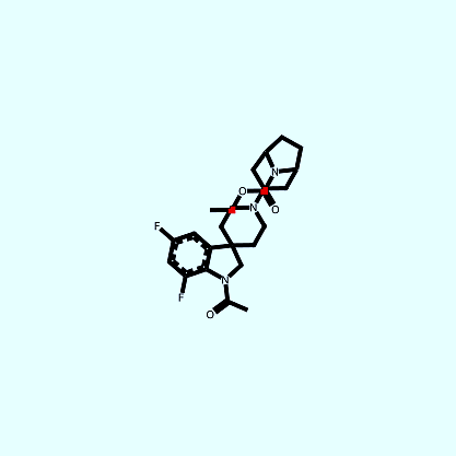 CCOC(=O)N1C2CCC1CC(N1CCC3(CC1)CN(C(C)=O)c1c(F)cc(F)cc13)C2